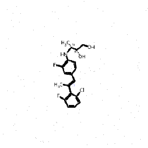 C/C(=C\c1ccc(N[C@H](C)[C@@H](O)CO)c(F)c1)c1c(F)cccc1Cl